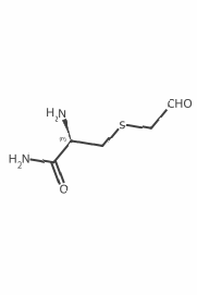 NC(=O)[C@@H](N)CSCC=O